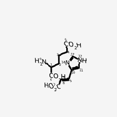 NC(CCCC(=O)O)C(=O)O.O=C(O)C=Cc1c[nH]cn1